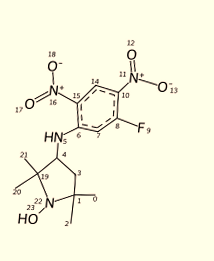 CC1(C)CC(Nc2cc(F)c([N+](=O)[O-])cc2[N+](=O)[O-])C(C)(C)N1O